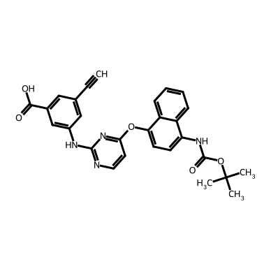 C#Cc1cc(Nc2nccc(Oc3ccc(NC(=O)OC(C)(C)C)c4ccccc34)n2)cc(C(=O)O)c1